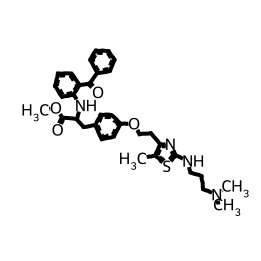 COC(=O)C(Cc1ccc(OCCc2nc(NCCCN(C)C)sc2C)cc1)Nc1ccccc1C(=O)c1ccccc1